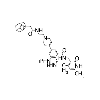 Cc1cc(C)c(CNC(=O)c2cc(C3=CCN(CCNC(=O)CC45CC6CC(CC4C6)C5)CC3)cc(NC(C)C)c2C=N)c(=O)[nH]1